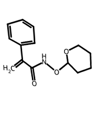 C=C(C(=O)NOC1CCCCO1)c1ccccc1